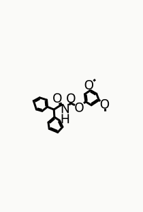 COc1cc(OC)cc(OC(=O)NC(=O)C(c2ccccc2)c2ccccc2)c1